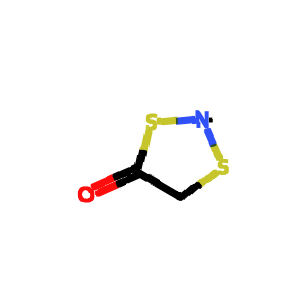 O=C1CS[N]S1